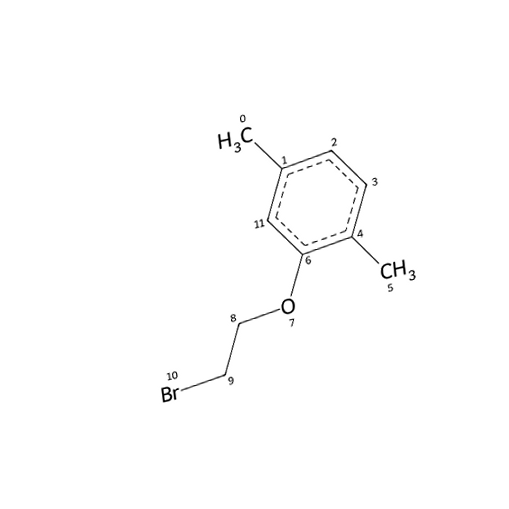 Cc1ccc(C)c(OCCBr)c1